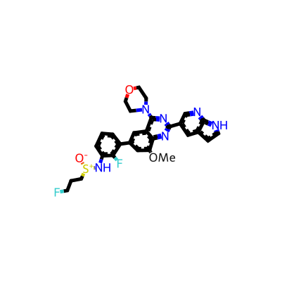 COc1cc(-c2cccc(N[S+]([O-])CCCF)c2F)cc2c(N3CCOCC3)nc(-c3cnc4[nH]ccc4c3)nc12